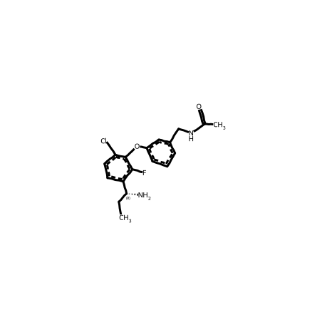 CC[C@@H](N)c1ccc(Cl)c(Oc2cccc(CNC(C)=O)c2)c1F